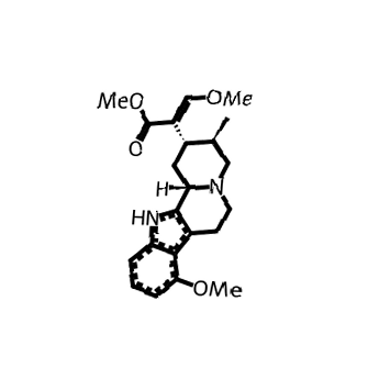 CO/C=C(/C(=O)OC)[C@H]1C[C@H]2c3[nH]c4cccc(OC)c4c3CCN2C[C@@H]1C